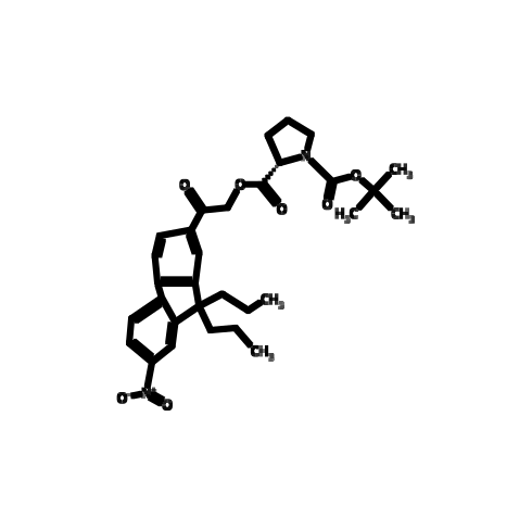 CCCC1(CCC)c2cc(C(=O)COC(=O)[C@@H]3CCCN3C(=O)OC(C)(C)C)ccc2-c2ccc([N+](=O)[O-])cc21